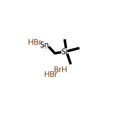 Br.Br.Br.C[Si](C)(C)[CH2][Sn]